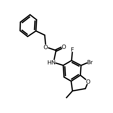 CC1COc2c1cc(NC(=O)OCc1ccccc1)c(F)c2Br